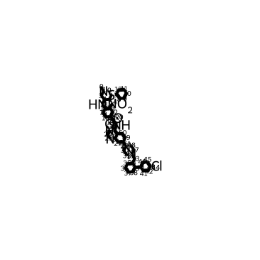 CN(C)CC(CSc1ccccc1)Nc1ccc(S(=O)(=O)Nc2ncnc3cc(N4CCN(Cc5ccccc5-c5ccc(Cl)cc5)CC4)ccc23)cc1[N+](=O)[O-]